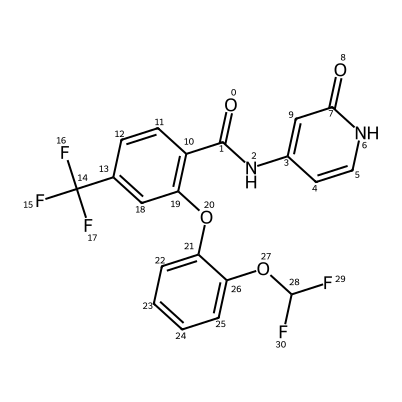 O=C(Nc1cc[nH]c(=O)c1)c1ccc(C(F)(F)F)cc1Oc1ccccc1OC(F)F